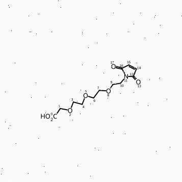 O=C(O)COCCOCCOCCN1C(=O)C=CC1=O